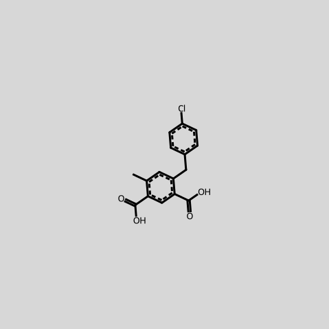 Cc1cc(Cc2ccc(Cl)cc2)c(C(=O)O)cc1C(=O)O